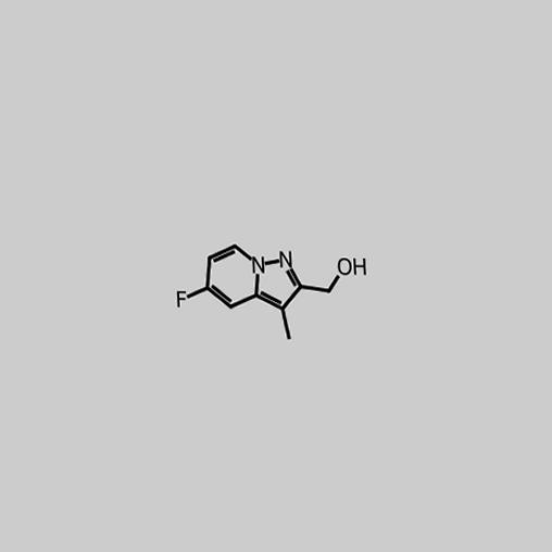 Cc1c(CO)nn2ccc(F)cc12